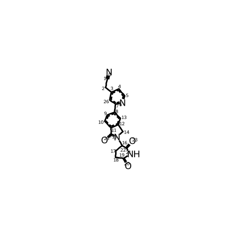 N#CCc1ccnc(-c2ccc3c(c2)CN(C2CCC(=O)NC2=O)C3=O)c1